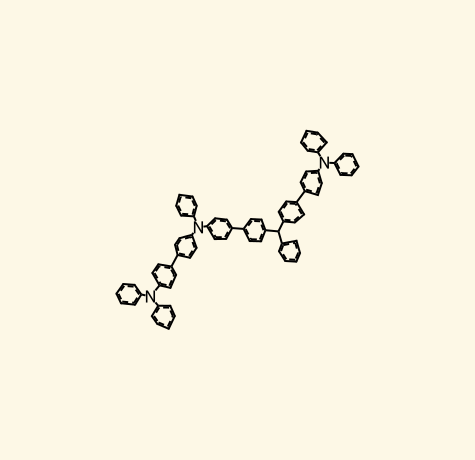 c1ccc(C(c2ccc(-c3ccc(N(c4ccccc4)c4ccccc4)cc3)cc2)c2ccc(-c3ccc(N(c4ccccc4)c4ccc(-c5ccc(N(c6ccccc6)c6ccccc6)cc5)cc4)cc3)cc2)cc1